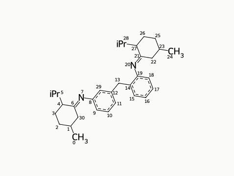 CC1CCC(C(C)C)C(=Nc2cccc(Cc3ccccc3N=C3CC(C)CCC3C(C)C)c2)C1